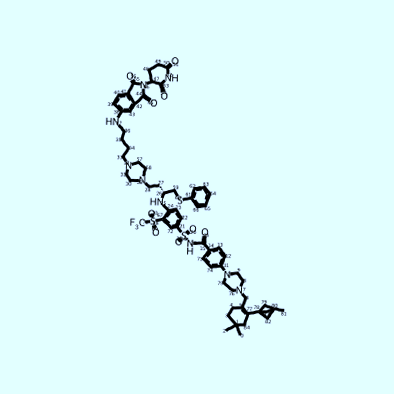 CC1(C)CCC(CN2CCN(c3ccc(C(=O)NS(=O)(=O)c4ccc(N[C@H](CCN5CCN(CCCCNc6ccc7c(c6)C(=O)N(C6CCC(=O)NC6=O)C7=O)CC5)CSc5ccccc5)c(S(=O)(=O)C(F)(F)F)c4)cc3)CC2)=C(C23CC(C)(C2)C3)C1